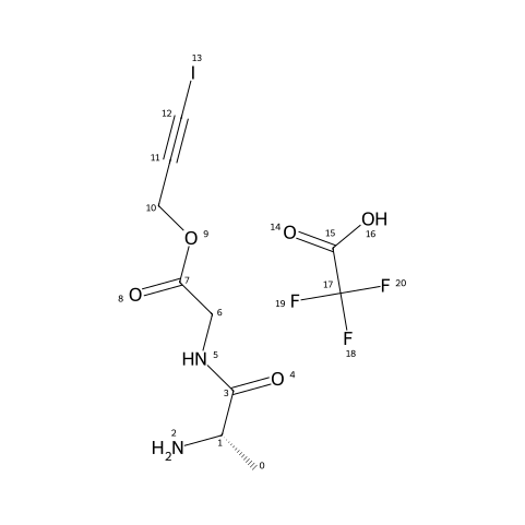 C[C@H](N)C(=O)NCC(=O)OCC#CI.O=C(O)C(F)(F)F